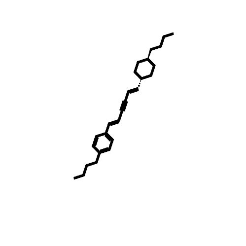 CCCCc1ccc(/C=C/C#C/C=C/[C@H]2CC[C@H](CCCC)CC2)cc1